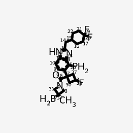 BC1(C)CN(C(=O)C2(c3ccc4[nH]c(CC5CCC(F)(F)CC5)nc4c3P)CC(F)C2)C1